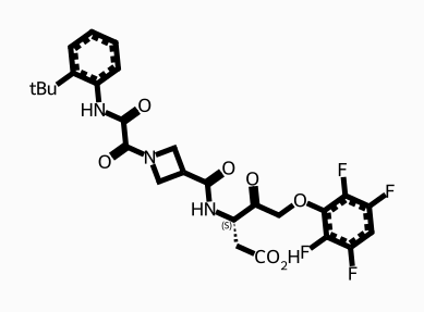 CC(C)(C)c1ccccc1NC(=O)C(=O)N1CC(C(=O)N[C@@H](CC(=O)O)C(=O)COc2c(F)c(F)cc(F)c2F)C1